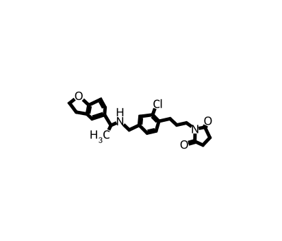 CC(NCc1ccc(CCCN2C(=O)CCC2=O)c(Cl)c1)c1ccc2c(c1)CCO2